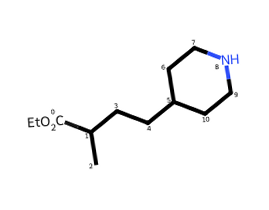 CCOC(=O)C(C)CCC1CCNCC1